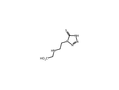 O=C(O)CNCCn1nn[nH]c1=S